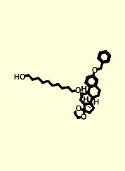 C[C@]12C[C@H](OCCCCCCCCCCO)[C@@H]3c4ccc(OCc5ccccc5)cc4CC[C@H]3[C@@H]1CCC21OCCO1